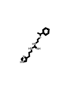 CC(SCCNC(=N)NCCCc1c[nH]cn1)c1ccccc1